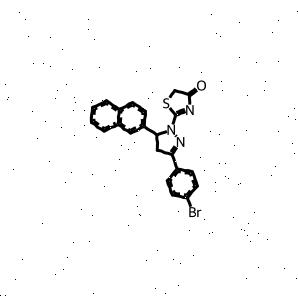 O=C1CSC(N2N=C(c3ccc(Br)cc3)CC2c2ccc3ccccc3c2)=N1